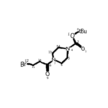 CC(C)(C)OC(=O)N1CCN(C(=O)CCBr)CC1